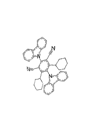 N#Cc1c(C2CCCCC2)c(-n2c3ccccc3c3ccccc32)c(C2CCCCC2)c(C#N)c1-n1c2ccccc2c2ccccc21